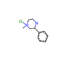 C[N+]1(Cl)CC[N]C(c2ccccc2)C1